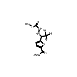 [2H]C([2H])([2H])C(NNC(=O)OC(C)(C)C)c1ccc(C(=O)OC)s1